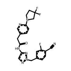 N#Cc1ccc(Cn2ncc(NC(=O)Cc3ccc(N4CCC(F)(F)C4)nc3)n2)cc1F